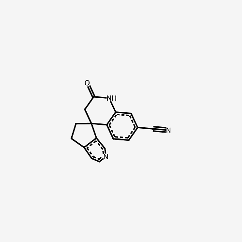 N#Cc1ccc2c(c1)NC(=O)CC21CCc2ccncc21